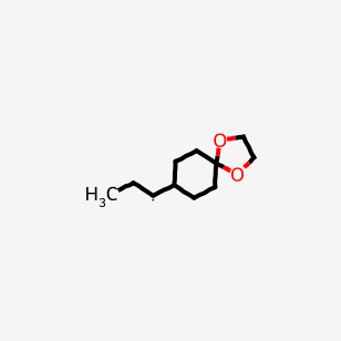 CC[CH]C1CCC2(CC1)OCCO2